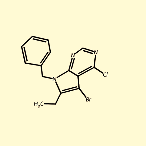 CCc1c(Br)c2c(Cl)ncnc2n1Cc1ccccc1